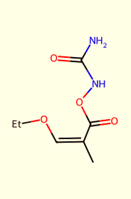 CCOC=C(C)C(=O)ONC(N)=O